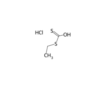 CCSC(O)=S.Cl